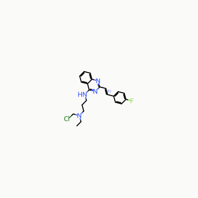 CCN(CCl)CCCNc1nc(/C=C/c2ccc(F)cc2)nc2ccccc12